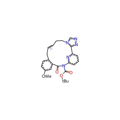 COc1ccc2c(c1)C(=O)N(C(=O)OC(C)(C)C)c1cccc(n1)-c1nncn1CC/C=C/C2